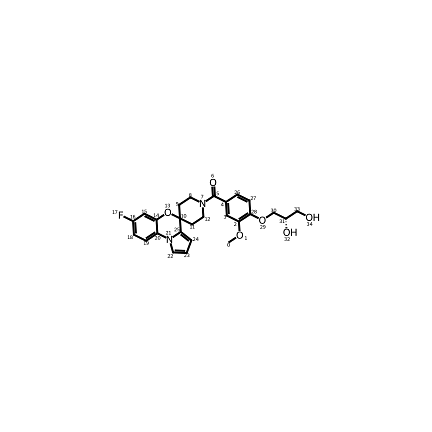 COc1cc(C(=O)N2CCC3(CC2)Oc2cc(F)ccc2-n2cccc23)ccc1OC[C@@H](O)CO